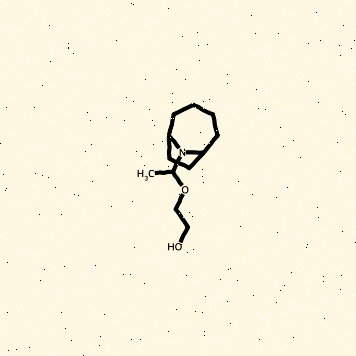 CC(OCCO)N1C2CCCCC1CC2